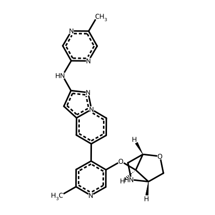 Cc1cnc(Nc2cc3cc(-c4cc(C)ncc4O[C@@H]4[C@@H]5CO[C@H]4CN5)ccn3n2)cn1